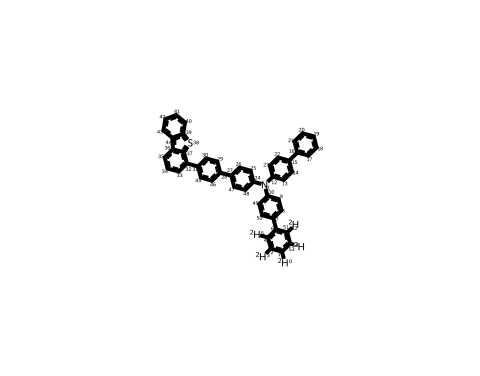 [2H]c1c([2H])c([2H])c(-c2ccc(N(c3ccc(-c4ccccc4)cc3)c3ccc(-c4ccc(-c5cccc6c5sc5ccccc56)cc4)cc3)cc2)c([2H])c1[2H]